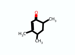 CC1=CC(=O)C(C)CC1C